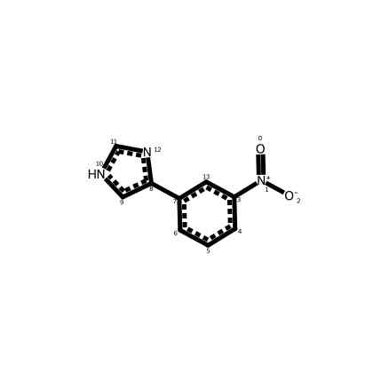 O=[N+]([O-])c1cccc(-c2c[nH]cn2)c1